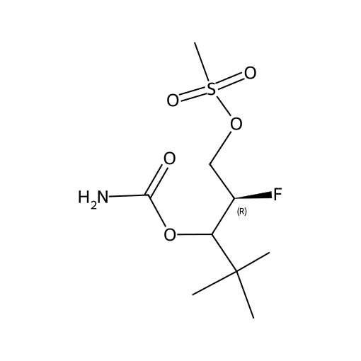 CC(C)(C)C(OC(N)=O)[C@H](F)COS(C)(=O)=O